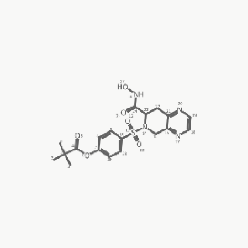 CC(C)(C)C(=O)Oc1ccc(S(=O)(=O)N2Cc3nccnc3CC2C(=O)NO)cc1